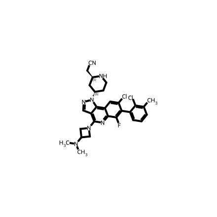 Cc1cccc(-c2c(Cl)cc3c(nc(N4CC(N(C)C)C4)c4cnn([C@H]5CCN[C@H](CC#N)C5)c43)c2F)c1Cl